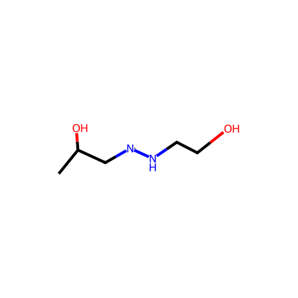 CC(O)C[N]NCCO